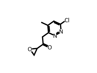 Cc1cc(Cl)nnc1CC(=O)C1CO1